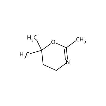 CC1=NCCC(C)(C)O1